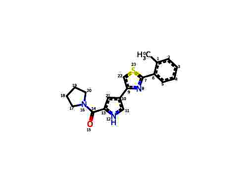 Cc1ccccc1-c1nc(-c2c[nH]c(C(=O)N3CCCC3)c2)cs1